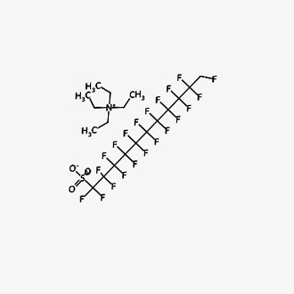 CC[N+](CC)(CC)CC.O=S(=O)([O-])C(F)(F)C(F)(F)C(F)(F)C(F)(F)C(F)(F)C(F)(F)C(F)(F)C(F)(F)C(F)(F)C(F)(F)CF